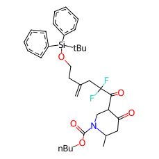 C=C(CCO[Si](c1ccccc1)(c1ccccc1)C(C)(C)C)CC(F)(F)C(=O)C1CN(C(=O)OCCCC)C(C)CC1=O